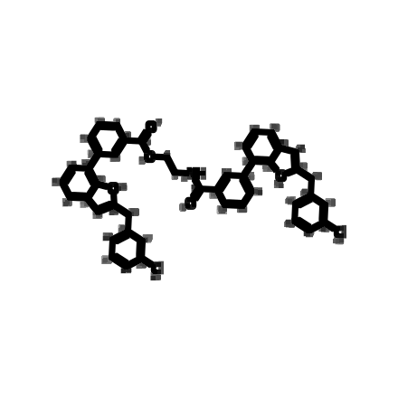 O=C(NCCOC(=O)c1cccc(-c2cccc3cc(Cc4cccc(Cl)c4)oc23)c1)c1cccc(-c2cccc3cc(Cc4cccc(Cl)c4)oc23)c1